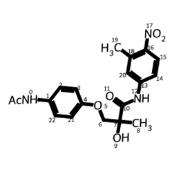 CC(=O)Nc1ccc(OCC(C)(O)C(=O)Nc2ccc([N+](=O)[O-])c(C)c2)cc1